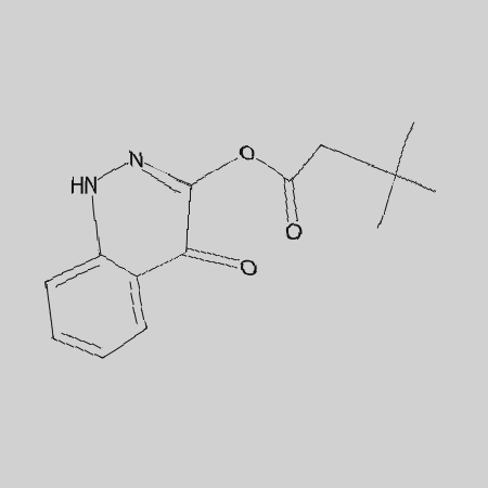 CC(C)(C)CC(=O)Oc1n[nH]c2ccccc2c1=O